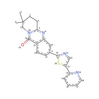 CC1(C)CCc2nc3cc(-c4ncc(-c5ccccn5)s4)ccc3c(=O)n2C1